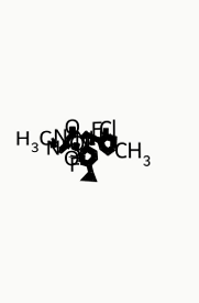 Cc1ccc(C(F)(F)CNC(=O)c2nc(C)ncc2S(=O)(=O)c2cccc(C3CC3)c2F)c(Cl)c1